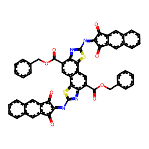 O=C(OCc1ccccc1)c1cc2c(cc(C(=O)OCc3ccccc3)c3nc(N=c4c(=O)c5cc6ccccc6cc5c4=O)sc32)c2sc(N=c3c(=O)c4cc5ccccc5cc4c3=O)nc12